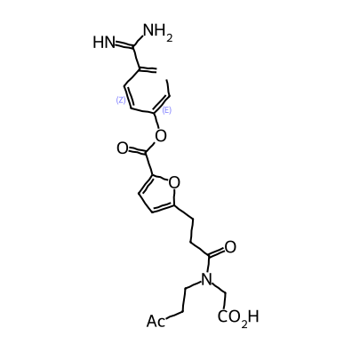 C=C(/C=C\C(=C/C)OC(=O)c1ccc(CCC(=O)N(CCC(C)=O)CC(=O)O)o1)C(=N)N